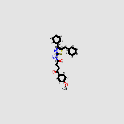 CCOc1ccc(C(=O)CCC(=O)Nc2nc(-c3ccccc3)c(Cc3ccccc3)s2)cc1